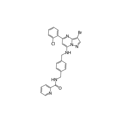 O=C(NCc1ccc(CNc2cc(-c3ccccc3Cl)nc3c(Br)cnn23)cc1)c1ccccn1